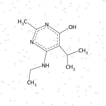 CCNc1nc(C)nc(O)c1C(C)C